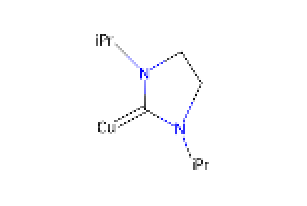 CC(C)N1CCN(C(C)C)[C]1=[Cu]